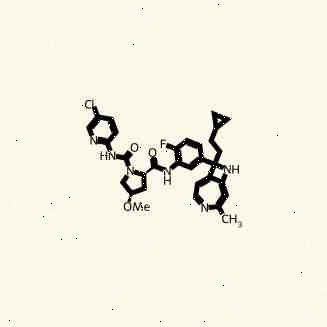 CO[C@@H]1C[C@H](C(=O)Nc2cc(C3(CCC4CC4)NC4=C=C(C)N=CC=C43)ccc2F)N(C(=O)Nc2ccc(Cl)cn2)C1